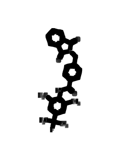 Cc1cc(C(F)(C(F)(F)F)C(F)(F)F)cc(C)c1NC(=O)c1ccc(CN2C(=O)c3ccccc3C2=O)cc1